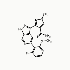 COc1cccc(F)c1-c1cc2c(-c3nn(C)cc3C(N)=O)n[nH]c2cn1